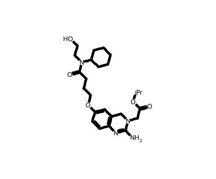 CC(C)OC(=O)CN1Cc2cc(OCCCC(=O)N(CCO)C3CCCCC3)ccc2N=C1N